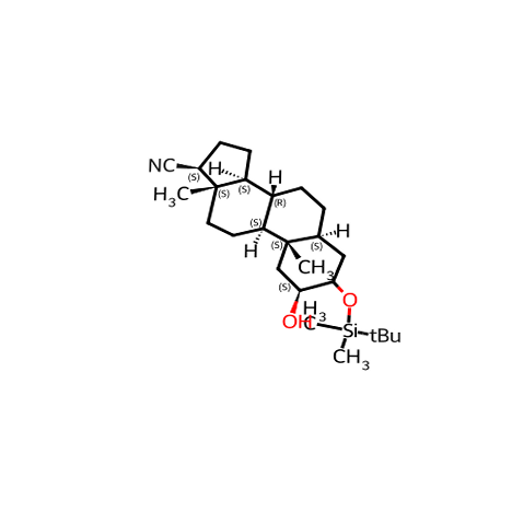 CC(C)(C)[Si](C)(C)OC1C[C@@H]2CC[C@@H]3[C@H](CC[C@]4(C)[C@@H](C#N)CC[C@@H]34)[C@@]2(C)C[C@@H]1O